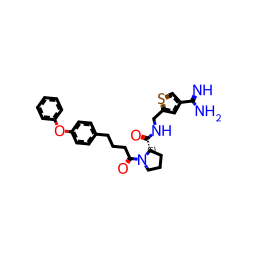 N=C(N)c1csc(CNC(=O)[C@@H]2CCCN2C(=O)CCCc2ccc(Oc3ccccc3)cc2)c1